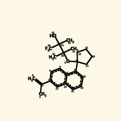 C=C(C)c1ccc2c(C3(OC(C)(C)C(C)(O)C(F)(F)F)CCCC3)cccc2c1